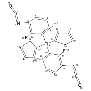 O=C=Nc1ccc(F)[c]([Ti]([C]2=CC=CC2)([C]2=CC=CC2)[c]2c(F)ccc(N=C=O)c2F)c1F